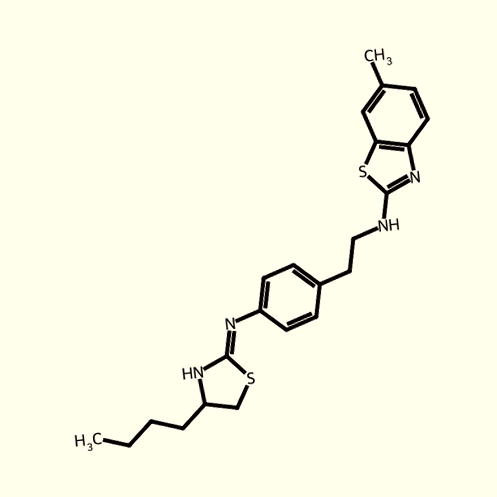 CCCCC1CS/C(=N\c2ccc(CCNc3nc4ccc(C)cc4s3)cc2)N1